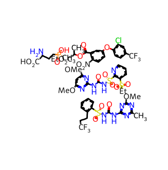 CCOC(=O)C(C)OC(=O)c1cc(Oc2ccc(C(F)(F)F)cc2Cl)ccc1[N+](=O)[O-].CCS(=O)(=O)c1cccnc1S(=O)(=O)NC(=O)Nc1nc(OC)cc(OC)n1.COc1nc(C)nc(NC(=O)NS(=O)(=O)c2ccccc2CCC(F)(F)F)n1.CP(=O)(O)CCC(N)C(=O)O